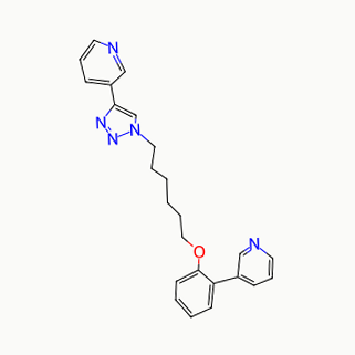 c1cncc(-c2cn(CCCCCCOc3ccccc3-c3cccnc3)nn2)c1